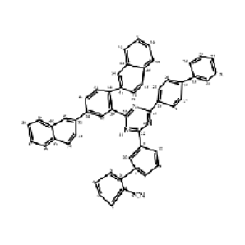 N#Cc1ccccc1-c1cccc(-c2nc(-c3ccc(-c4ccccc4)cc3)nc(-c3cc(-c4ccc5ccccc5c4)ccc3-c3ccc4ccccc4c3)n2)c1